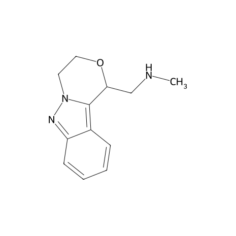 CNCC1OCCn2nc3ccccc3c21